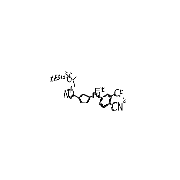 CCN(c1ccc(C#N)c(C(F)(F)F)c1)C1CC=C(c2cncn2CC(C)O[Si](C)(C)C(C)(C)C)C1